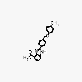 Cc1ccc(OCc2ccc(-c3nc4c(C(N)=O)cccc4[nH]3)cc2)cc1